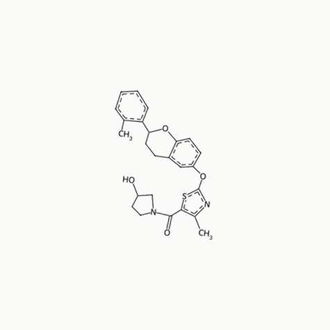 Cc1ccccc1C1CCc2cc(Oc3nc(C)c(C(=O)N4CCC(O)C4)s3)ccc2O1